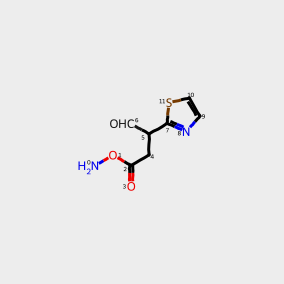 NOC(=O)CC(C=O)c1nccs1